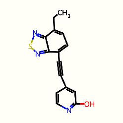 CCc1ccc(C#Cc2ccnc(O)c2)c2nsnc12